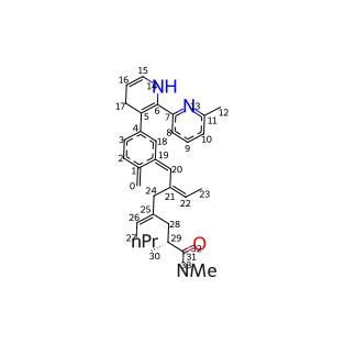 C=c1ccc(C2=C(c3cccc(C)n3)NC=CC2)c/c1=C/C(=C\C)C/C(=C/CCC)C[C@@H](C)C(=O)NC